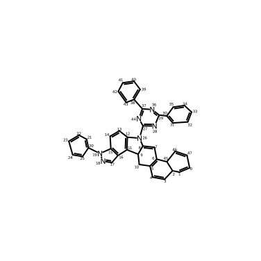 C1=CC2C=CC3=C(C=C4C(C3)c3c(ccc5c3cnn5-c3ccccc3)N4c3nc(-c4ccccc4)nc(-c4ccccc4)n3)C2C=C1